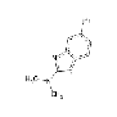 CC(C)c1ccc2sc(N(C)C)nc2c1